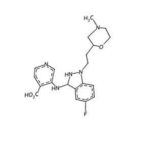 CN1CCOC(CCN2NC(Nc3cnccc3C(=O)O)c3cc(F)ccc32)C1